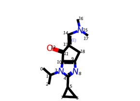 CC(C)n1c(C2CC2)nc2c1C(=O)/C(=C/N(C)C)C2